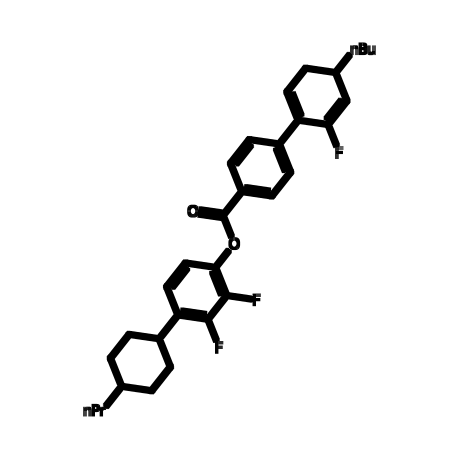 CCCCC1C=C(F)C(c2ccc(C(=O)Oc3ccc(C4CCC(CCC)CC4)c(F)c3F)cc2)=CC1